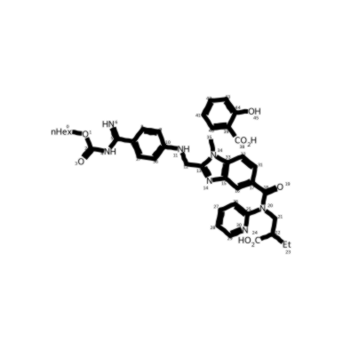 CCCCCCOC(=O)NC(=N)c1ccc(NCc2nc3cc(C(=O)N(CC(CC)C(=O)O)c4ccccn4)ccc3n2C)cc1.O=C(O)c1ccccc1O